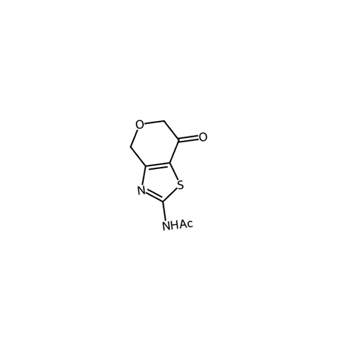 CC(=O)Nc1nc2c(s1)C(=O)COC2